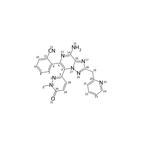 Cn1nc(-c2c(-c3ccccc3C#N)nc(N)c3nc(Cc4ccccn4)nn23)ccc1=O